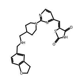 O=C1NC(=O)C(=Cc2ccnc(N3CCC(CNCc4ccc5c(c4)CCO5)CC3)n2)S1